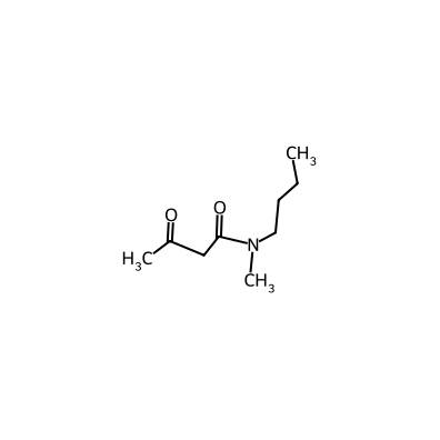 CCCCN(C)C(=O)CC(C)=O